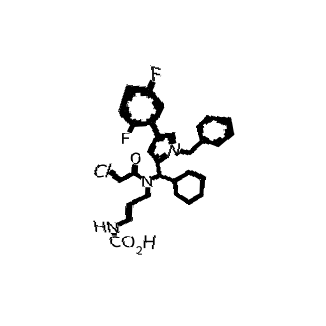 O=C(O)NCCCN(C(=O)CCl)C(c1cc(-c2cc(F)ccc2F)cn1Cc1ccccc1)C1CCCCC1